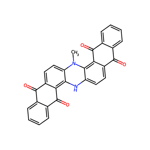 Cn1c2ccc3c(=O)c4ccccc4c(=O)c3c2[nH]c2ccc3c(=O)c4ccccc4c(=O)c3c21